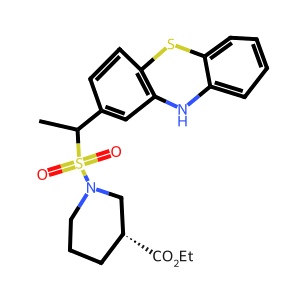 CCOC(=O)[C@@H]1CCCN(S(=O)(=O)C(C)c2ccc3c(c2)Nc2ccccc2S3)C1